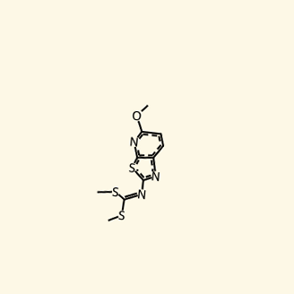 COc1ccc2nc(N=C(SC)SC)sc2n1